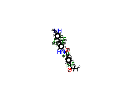 CCC(C)(C)C(=O)C(F)(F)c1ccc(C(F)(F)C(=O)Nc2ccc(C(c3ccc(NC)cc3)(C(F)(F)F)C(F)(F)F)cc2)cc1